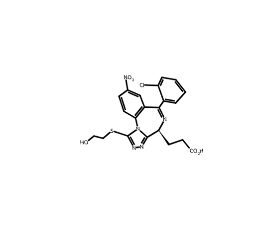 O=C(O)CC[C@@H]1N=C(c2ccccc2Cl)c2cc([N+](=O)[O-])ccc2-n2c(SCCO)nnc21